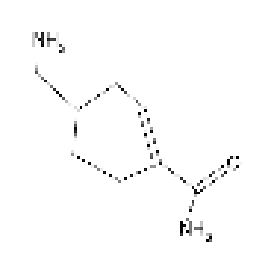 NCC1CC=C(C(N)=O)CC1